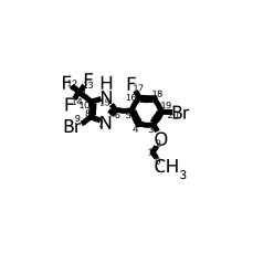 CCOc1cc(-c2nc(Br)c(C(F)(F)F)[nH]2)c(F)cc1Br